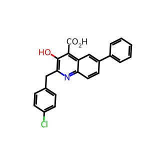 O=C(O)c1c(O)c(Cc2ccc(Cl)cc2)nc2ccc(-c3ccccc3)cc12